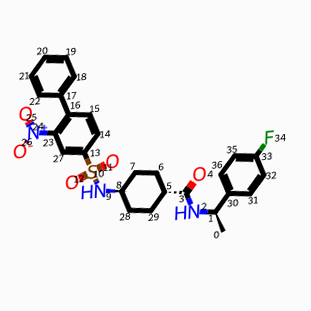 C[C@@H](NC(=O)[C@H]1CC[C@H](NS(=O)(=O)c2ccc(-c3ccccc3)c([N+](=O)[O-])c2)CC1)c1ccc(F)cc1